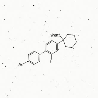 CCCCCC1(c2ccc(-c3ccc(C(C)=O)cc3)c(F)c2)CCCCC1